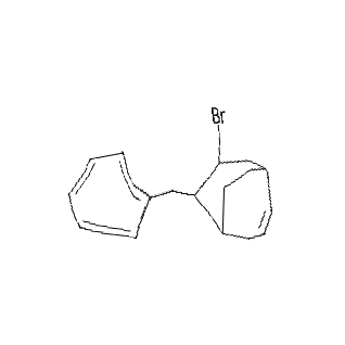 BrC1C2C=CC(C2)C1c1ccccc1